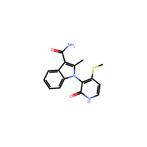 CSc1cc[nH]c(=O)c1-n1c(C)c(C(N)=O)c2ccccc21